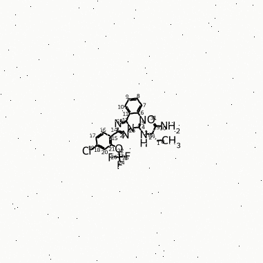 CC[C@H](Nc1nc2ccccc2c2nc(-c3ccc(Cl)cc3OC(F)(F)F)nn12)C(N)=O